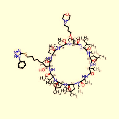 CC[C@@H]1NC(=O)[C@H]([C@H](O)[C@H](C)CCCCCSc2nnnn2-c2ccccc2)NC(=O)[C@H](C(C)C)N(C)C(=O)[C@H](CC(C)C)N(C)C(=O)[C@H](CC(C)C)N(C)C(=O)[C@@H](C)NC(=O)[C@H](C)NC(=O)[C@H](CC(C)C)N(C)C(=O)[C@H](C(C)C)NC(=O)[C@H]([C@@H](C)OCCCCN2CCOCC2)N(C)C(=O)[C@@H](C)N(C)C1=O